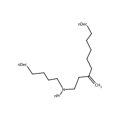 C=C(CCCCCCCCCCCCCCC)CCN(CCC)CCCCCCCCCCCCCC